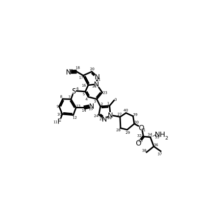 Cc1c(-c2cc(Sc3ccc(F)cc3C#N)c3c(C#N)cnn3c2)cnn1C1CCC(OC(=O)[C@H](N)C(C)C)CC1